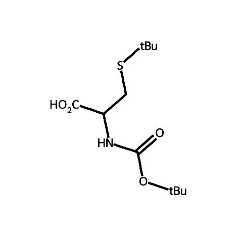 CC(C)(C)OC(=O)NC(CSC(C)(C)C)C(=O)O